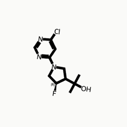 CC(C)(O)C1CN(c2cc(Cl)ncn2)C[C@@H]1F